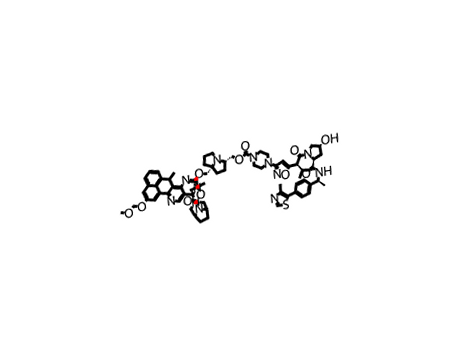 COCOc1cc2c3c(cccc3c1)C(C)c1c-2ncc2c(N3CC4CCC(C3)N4C(=O)OC(C)(C)C)nc(OC[C@]34CCCN3[C@H](COC(=O)N3CCN(c5cc([C@@H](C(=O)N6C[C@H](O)C[C@H]6C(=O)N[C@@H](C)c6ccc(-c7scnc7C)cc6)C(C)C)on5)CC3)CC4)nc12